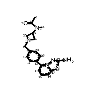 CC(=O)N(C)C1CN(Cc2ccc(-c3cccc4nc(N)nn34)cc2)C1